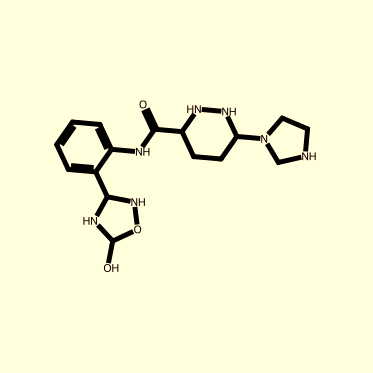 O=C(Nc1ccccc1C1NOC(O)N1)C1CCC(N2CCNC2)NN1